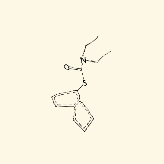 CCN(CC)C(=O)Sc1cccc2ccccc12